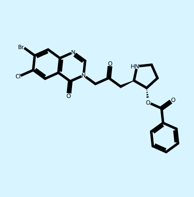 O=C(C[C@H]1NCC[C@@H]1OC(=O)c1ccccc1)Cn1cnc2cc(Br)c(Cl)cc2c1=O